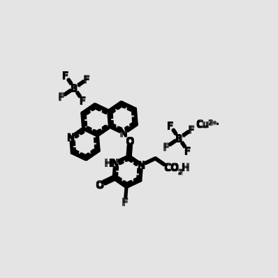 F[B-](F)(F)F.F[B-](F)(F)F.O=C(O)Cn1cc(F)c(=O)[nH]c1=O.[Cu+2].c1cnc2c(c1)ccc1ncccc12